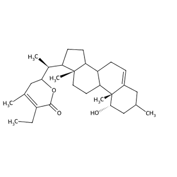 CCC1=C(C)CC([C@@H](C)C2CCC3C4CC=C5CC(C)C[C@H](O)[C@]5(C)C4CC[C@@]32C)OC1=O